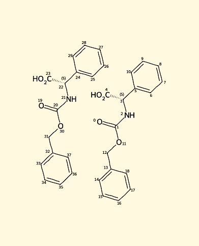 O=C(N[C@H](C(=O)O)c1ccccc1)OCc1ccccc1.O=C(N[C@H](C(=O)O)c1ccccc1)OCc1ccccc1